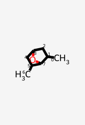 CC1CC2CC(C)C1O2